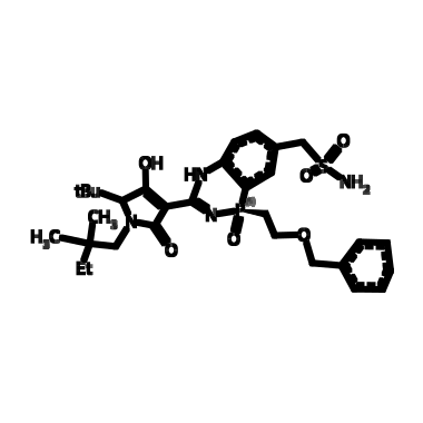 CCC(C)(C)CN1C(=O)C(C2=N[P@](=O)(CCOCc3ccccc3)c3cc(CS(N)(=O)=O)ccc3N2)=C(O)C1C(C)(C)C